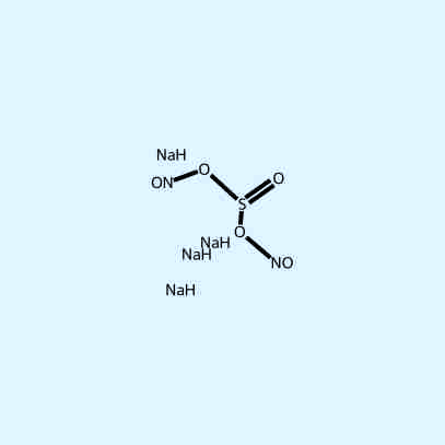 O=NOS(=O)ON=O.[NaH].[NaH].[NaH].[NaH]